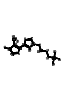 Cn1ncc(-c2ccn(COCC[Si](C)(C)C)n2)c1C(F)(F)F